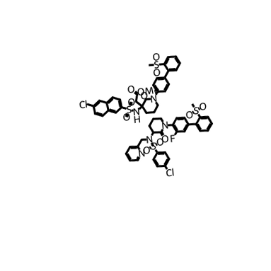 COC(=O)CC1(NS(=O)(=O)c2ccc3cc(Cl)ccc3c2)CCCN(c2ccc(-c3ccccc3S(C)(=O)=O)cc2)C1=O.CS(=O)(=O)c1ccccc1-c1ccc(N2CCCC(N(Cc3ccccn3)S(=O)(=O)c3ccc(Cl)cc3)C2=O)c(F)c1